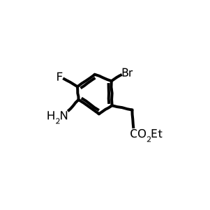 CCOC(=O)Cc1cc(N)c(F)cc1Br